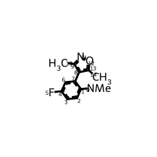 CNc1ccc(F)cc1-c1c(C)noc1C